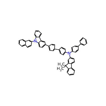 CC1(C)c2ccccc2-c2ccc(N(c3ccc(-c4ccccc4)cc3)c3ccc(-c4ccc(-c5ccc6c(c5)c5ccccc5n6-c5ccc6ccccc6c5)cc4)cc3)cc21